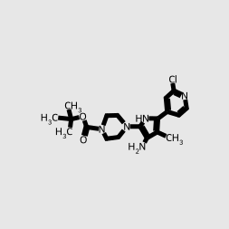 Cc1c(-c2ccnc(Cl)c2)[nH]c(N2CCN(C(=O)OC(C)(C)C)CC2)c1N